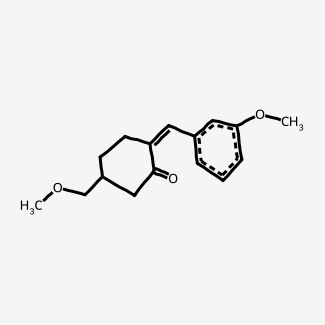 COCC1CCC(=Cc2cccc(OC)c2)C(=O)C1